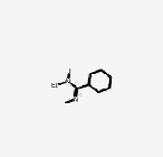 CCN(I)/C(=N\C)C1CCCCC1